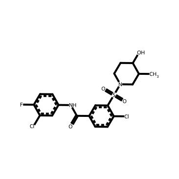 CC1CN(S(=O)(=O)c2cc(C(=O)Nc3ccc(F)c(Cl)c3)ccc2Cl)CCC1O